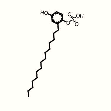 CCCCCCCCCCCCCCCc1cc(O)ccc1OS(=O)(=O)O